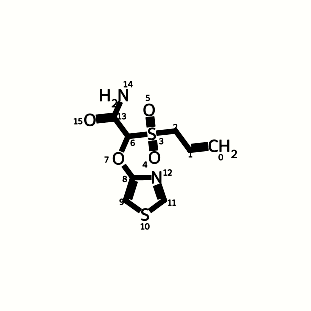 C=CCS(=O)(=O)C(Oc1cscn1)C(N)=O